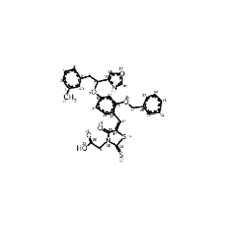 Cc1cccc(CC(Oc2ccc(C=C3SC(=S)N(CC(=O)O)C3=O)c(OCc3ccccc3)c2)c2cocn2)c1